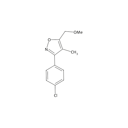 COCc1onc(-c2ccc(Cl)cc2)c1C